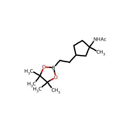 CC(=O)NC1(C)CCC(CCB2OC(C)(C)C(C)(C)O2)C1